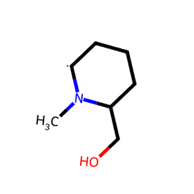 CN1[CH]CCCC1CO